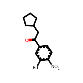 CC(C)(C)c1cc(C(=O)CC2CCCC2)c[c]c1[N+](=O)[O-]